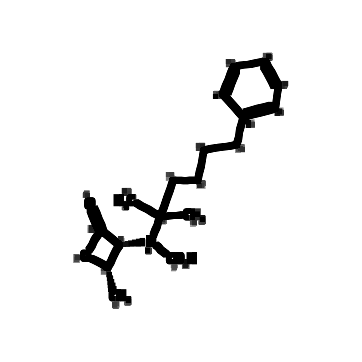 C[C@@H]1OC(=O)[C@@H]1N(C(=O)O)C(C)(C)CCCCc1ccccc1